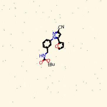 CC(C)(C)OC(=O)NCc1cccc(-n2nc(C#N)cc2-c2ccco2)c1